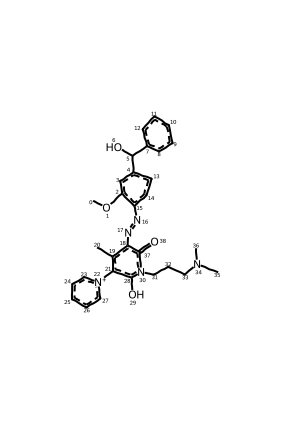 COc1cc(C(O)c2ccccc2)ccc1/N=N/c1c(C)c(-[n+]2ccccc2)c(O)n(CCCN(C)C)c1=O